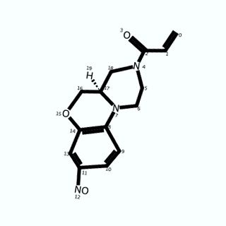 C=CC(=O)N1CCN2c3ccc(N=O)cc3OC[C@H]2C1